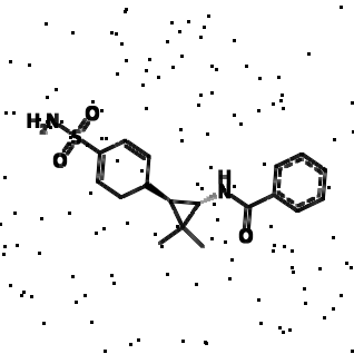 CC1(C)[C@@H](NC(=O)c2ccccc2)[C@@H]1C1C=CC(S(N)(=O)=O)=CC1